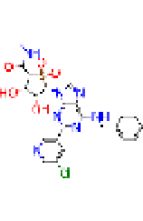 CNC(=O)[C@@H]1[C@@H](O)[C@@H](O)[C@H](n2cnc3c(NCc4ccccc4)nc(-c4cncc(Cl)c4)nc32)S1(=O)=O